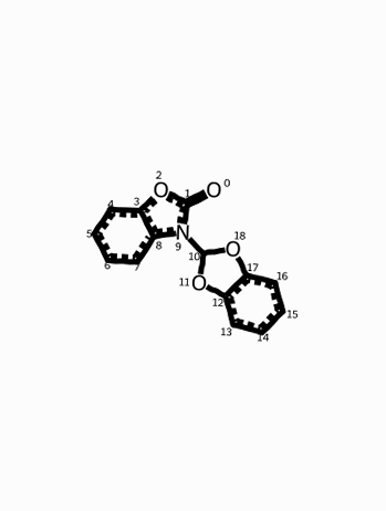 O=c1oc2ccccc2n1[C]1Oc2ccccc2O1